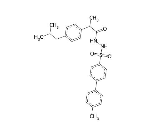 Cc1ccc(-c2ccc(S(=O)(=O)NNC(=O)C(C)c3ccc(CC(C)C)cc3)cc2)cc1